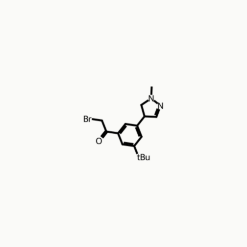 CN1CC(c2cc(C(=O)CBr)cc(C(C)(C)C)c2)C=N1